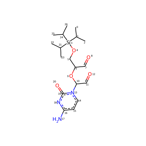 CC(C)[Si](OCC(C=O)OC(C=O)n1ccc(N)nc1=O)(C(C)C)C(C)C